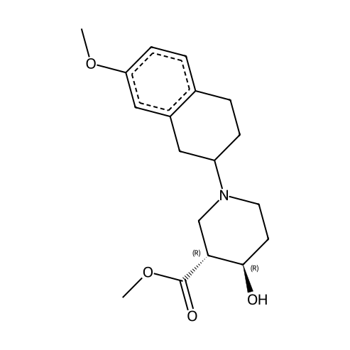 COC(=O)[C@@H]1CN(C2CCc3ccc(OC)cc3C2)CC[C@H]1O